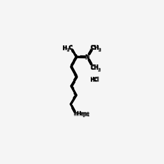 CCCCCCCCCCCCC(C)N(C)C.Cl